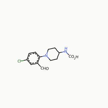 O=Cc1cc(Cl)ccc1N1CCC(NC(=O)O)CC1